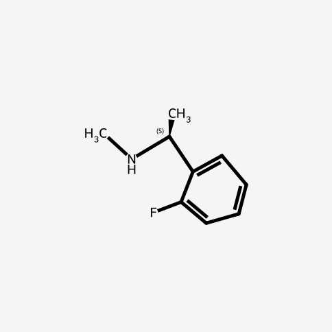 CN[C@@H](C)c1ccccc1F